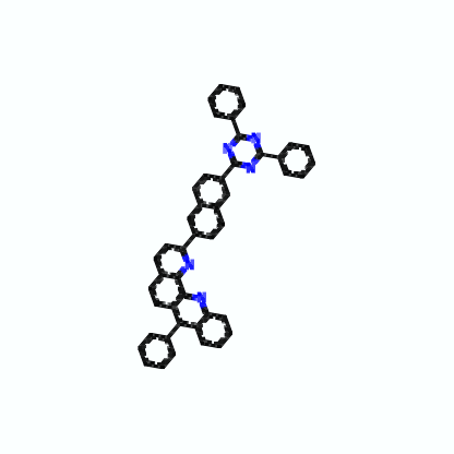 c1ccc(-c2nc(-c3ccccc3)nc(-c3ccc4cc(-c5ccc6ccc7c(-c8ccccc8)c8ccccc8nc7c6n5)ccc4c3)n2)cc1